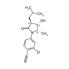 CC(C)C[C@@H]1C(=O)N(c2ccc(C#N)c(Cl)c2)[C@@H](C)[C@H]1O